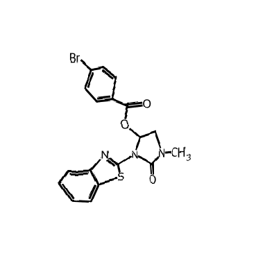 CN1CC(OC(=O)c2ccc(Br)cc2)N(c2nc3ccccc3s2)C1=O